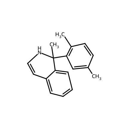 Cc1ccc(C)c(C2(C)NC=Cc3ccccc32)c1